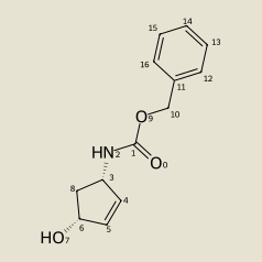 O=C(N[C@@H]1C=C[C@H](O)C1)OCc1ccccc1